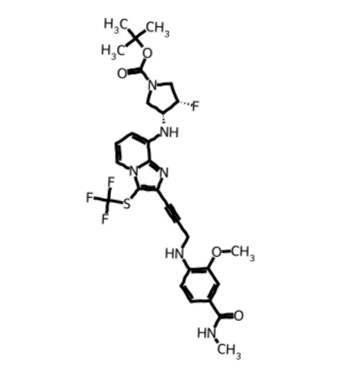 CNC(=O)c1ccc(NCC#Cc2nc3c(N[C@@H]4CN(C(=O)OC(C)(C)C)C[C@@H]4F)cccn3c2SC(F)(F)F)c(OC)c1